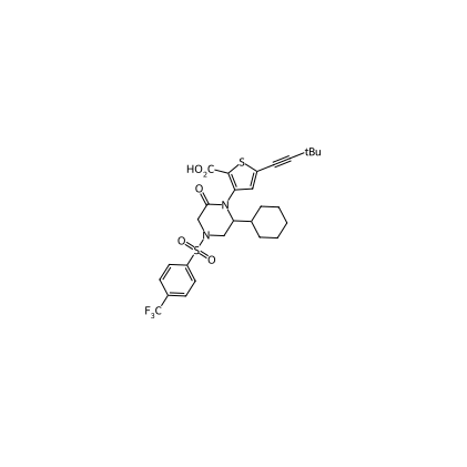 CC(C)(C)C#Cc1cc(N2C(=O)CN(S(=O)(=O)c3ccc(C(F)(F)F)cc3)CC2C2CCCCC2)c(C(=O)O)s1